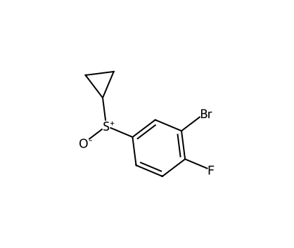 [O-][S+](c1ccc(F)c(Br)c1)C1CC1